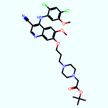 COc1cc(Nc2c(C#N)cnc3cc(OCCCN4CCN(CC(=O)OC(C)(C)C)CC4)c(OC)cc23)c(Cl)cc1Cl